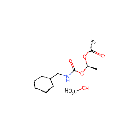 CC(C)C(=O)O[C@@H](C)OC(=O)NCC1CCCCC1.O=C(O)O